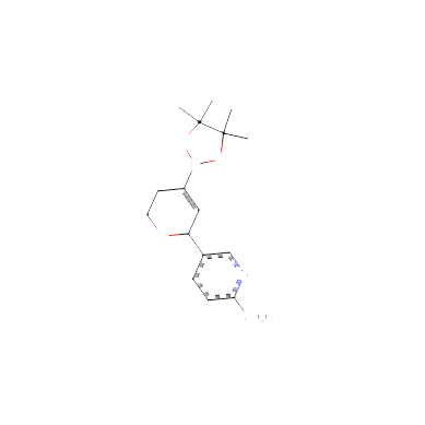 COc1ccc(C2C=C(B3OC(C)(C)C(C)(C)O3)CCO2)cn1